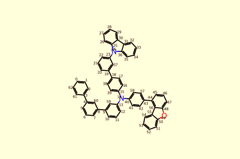 c1ccc(-c2cccc(-c3cccc(N(c4ccc(-c5cccc(-n6c7ccccc7c7ccccc76)c5)cc4)c4ccc(-c5cccc6oc7ccccc7c56)cc4)c3)c2)cc1